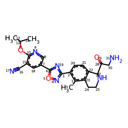 Cc1c(-c2noc(-c3cnc(OC(C)C)c(C#N)c3)n2)ccc2c1CCNC2C(=O)CN